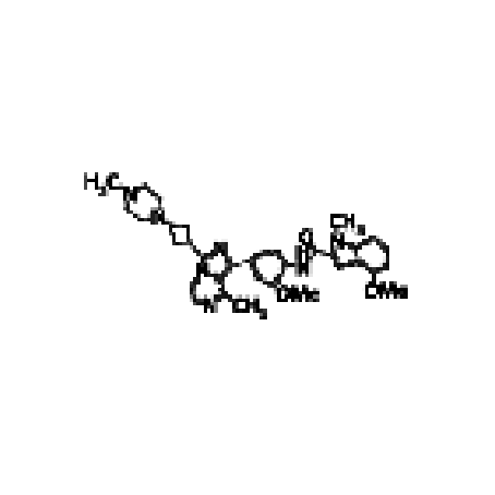 COc1cc(-c2nc(C3CC(N4CCN(C)CC4)C3)n3ccnc(C)c23)ccc1NC(=O)c1cc2c(OC)cccc2n1C